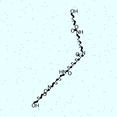 O=C(NCCSCSCC/N=C\[S+]([O-])CSCSCSC(=O)NCCSCSCC/N=C/OOCCSCCO)OCCSCCO